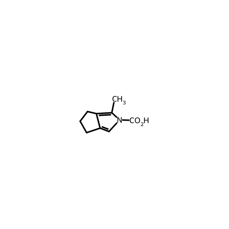 Cc1c2c(cn1C(=O)O)CCC2